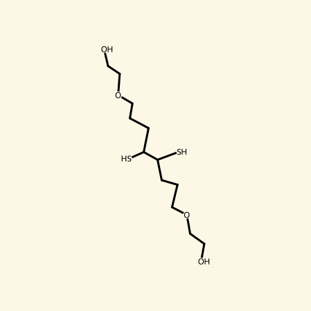 OCCOCCCC(S)C(S)CCCOCCO